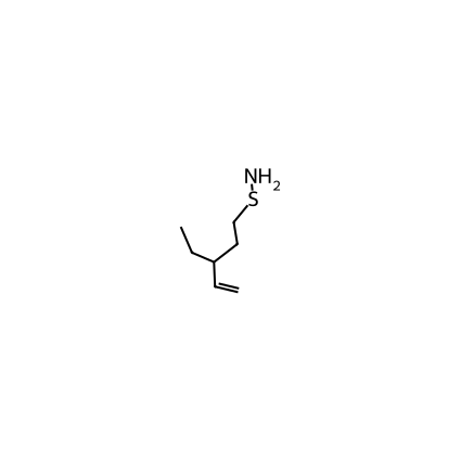 C=CC(CC)CCSN